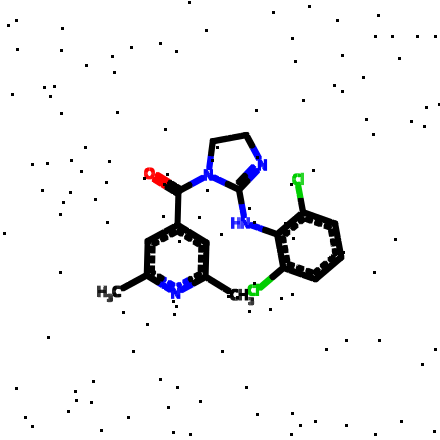 Cc1cc(C(=O)N2CCN=C2Nc2c(Cl)cccc2Cl)cc(C)n1